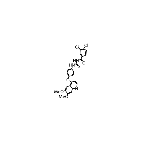 COc1cc2nccc(Oc3ccc(NC(=S)NC(=O)c4ccc(Cl)c(Cl)c4)cc3)c2cc1OC